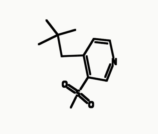 CC(C)(C)Cc1ccncc1S(C)(=O)=O